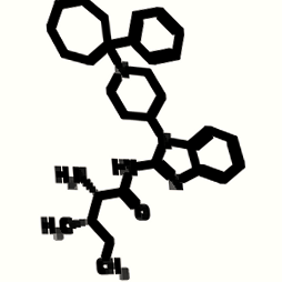 CC[C@H](C)[C@H](N)C(=O)Nc1nc2ccccc2n1C1CCN(C2(c3ccccc3)CCCCCC2)CC1